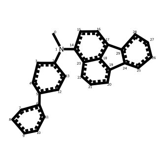 CN(c1ccc(-c2ccccc2)cc1)c1ccc2c3c(cccc13)-c1ccccc1-2